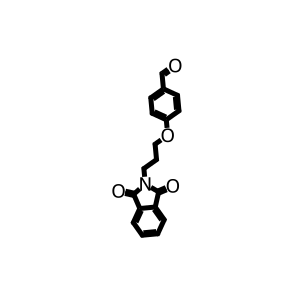 O=Cc1ccc(OCCCN2C(=O)c3ccccc3C2=O)cc1